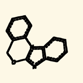 c1ccc2c(c1)COc1nc3ccccc3n1-2